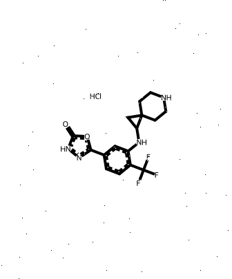 Cl.O=c1[nH]nc(-c2ccc(C(F)(F)F)c(NC3CC34CCNCC4)c2)o1